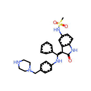 CS(=O)(=O)Nc1ccc2c(c1)/C(=C(/Nc1ccc(CN3CCNCC3)cc1)c1ccccc1)C(=O)N2